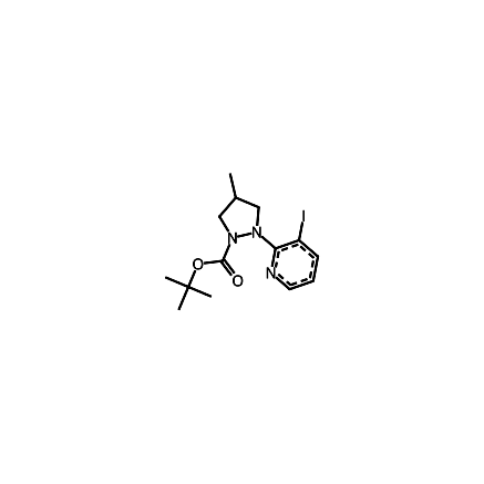 CC1CN(C(=O)OC(C)(C)C)N(c2ncccc2I)C1